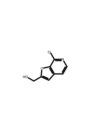 OCc1cc2ccnc(Cl)c2o1